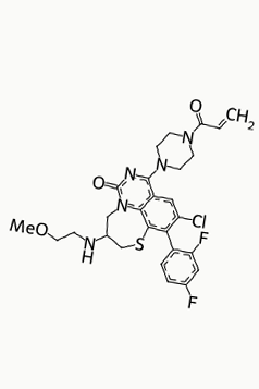 C=CC(=O)N1CCN(c2nc(=O)n3c4c(c(-c5ccc(F)cc5F)c(Cl)cc24)SCC(NCCOC)C3)CC1